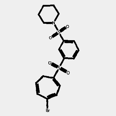 O=S(=O)(C1=CC=C(Br)C=CC1)c1cccc(S(=O)(=O)N2CCCCC2)c1